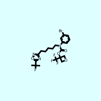 CC(C)(F)c1nc(CCCCCN(C(=O)OC2(C(F)(F)F)COC2)c2cccc(Br)c2)no1